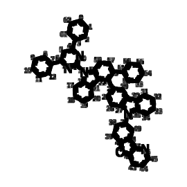 c1ccc(-c2cc(-c3ccccc3)nc(-n3c4ccccc4c4c(-c5ccc6c(c5)c5ccccc5n6-c5ccc6oc7cccnc7c6c5)c(-c5ccccc5)ccc43)n2)cc1